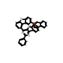 c1ccc(-c2nc(-c3cccc4oc5ccc(-c6ccc7ccccc7c6)cc5c34)c3sc4ccccc4c3n2)cc1